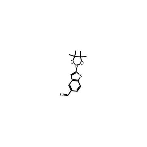 CC1(C)OB(c2cc3cc(C=O)ccc3s2)OC1(C)C